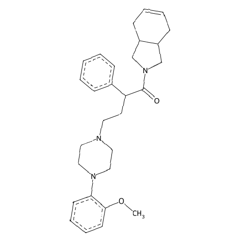 COc1ccccc1N1CCN(CCC(C(=O)N2CC3CC=CCC3C2)c2ccccc2)CC1